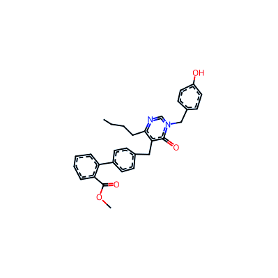 CCCCc1ncn(Cc2ccc(O)cc2)c(=O)c1Cc1ccc(-c2ccccc2C(=O)OC)cc1